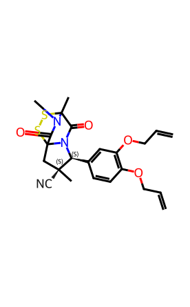 C=CCOc1ccc([C@@H]2N3C(=O)C4(C)SSC3(C[C@]2(C)C#N)C(=O)N4C)cc1OCC=C